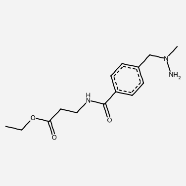 CCOC(=O)CCNC(=O)c1ccc(CN(C)N)cc1